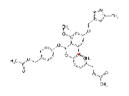 COc1cc(OCc2cn(C)nn2)cc(OC)c1C(Oc1ccc(COC(C)=O)cc1)Oc1ccc(COC(C)=O)cc1